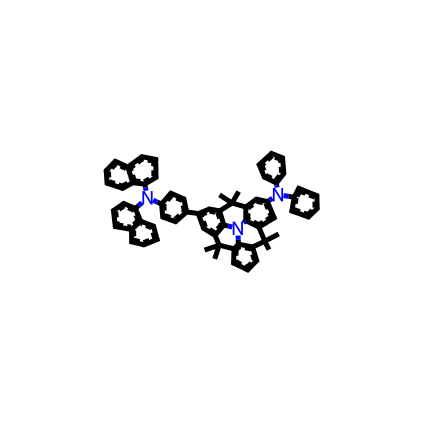 CC1(C)c2cccc3c2N2c4c1cc(-c1ccc(N(c5cccc6ccccc56)c5cccc6ccccc56)cc1)cc4C(C)(C)c1cc(N(c4ccccc4)c4ccccc4)cc(c12)C3(C)C